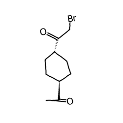 CC(=O)[C@H]1CC[C@H](C(=O)CBr)CC1